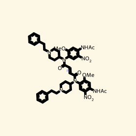 COc1cc(NC(C)=O)c([N+](=O)[O-])cc1N(C(=O)/C=C/C(=O)N(c1cc([N+](=O)[O-])c(NC(C)=O)cc1OC)C1CCN(CCc2ccccc2)CC1)C1CCN(CCc2ccccc2)CC1